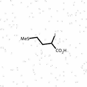 CSCCC(I)C(=O)O